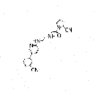 N#Cc1cccc(-c2ccc(NCCNCC(=O)N3CCC[C@H]3C#N)nc2)c1